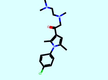 Cc1cc(C(=O)CN(C)CCN(C)C)c(C)n1-c1ccc(Cl)cc1